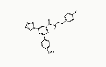 CSc1ccc(-c2cc(C(=O)NCCc3ccc(F)cc3)cc(-n3cnnn3)c2)cc1